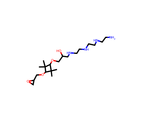 CC1(C)C(OCC(O)CNCCNCCNCCN)C(C)(C)C1OCC1CO1